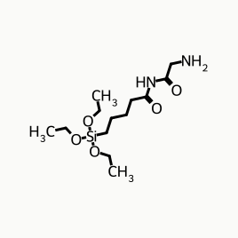 CCO[Si](CCCCC(=O)NC(=O)CN)(OCC)OCC